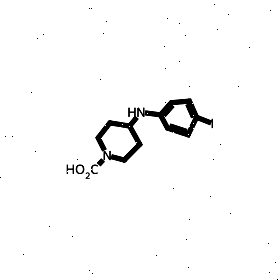 O=C(O)N1CCC(Nc2ccc(I)cc2)CC1